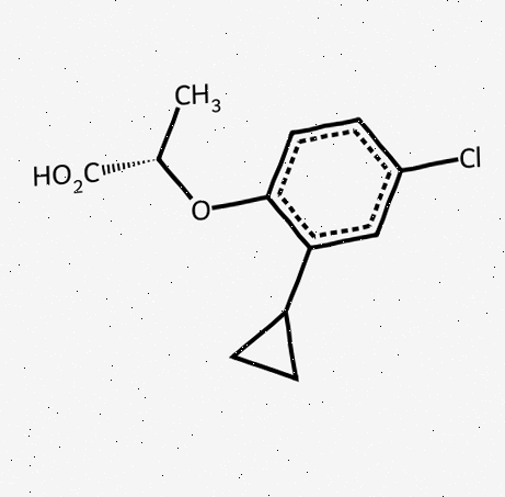 C[C@H](Oc1ccc(Cl)cc1C1CC1)C(=O)O